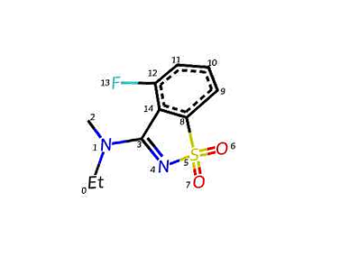 CCN(C)C1=NS(=O)(=O)c2cccc(F)c21